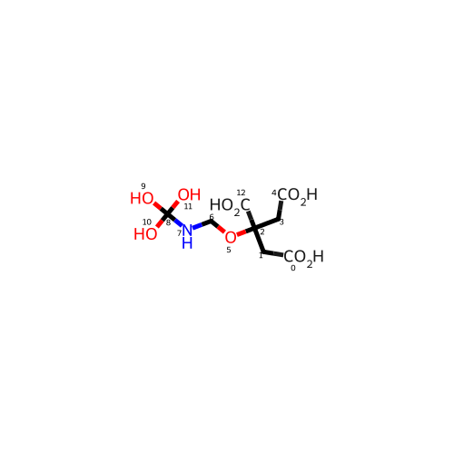 O=C(O)CC(CC(=O)O)(OCNC(O)(O)O)C(=O)O